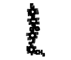 Cc1ccnc(CCc2ccc(OC(=O)N3CCN(c4ccc(F)cn4)CC3)cc2)c1